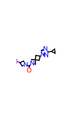 O=C(N1CC(I)C1)N1CC2(CC(n3cnc(C4CC4)n3)C2)C1